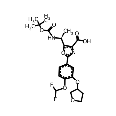 C[C@H](NC(=O)OC(C)(C)C)c1oc(-c2ccc(OC(F)F)c(OC3CCOC3)c2)nc1C(=O)O